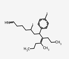 CCC/C(C)=C(/CCC)C(CC(I)CCCC=N)c1ccc(I)cc1